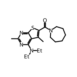 CCN(CC)c1nc(C)nc2sc(C(=O)N3CCCCCC3)c(C)c12